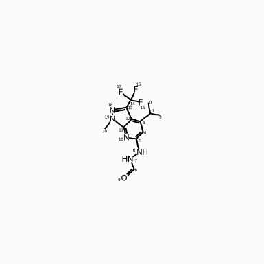 CC(C)c1cc(NNC=O)nc2c1c(C(F)(F)F)nn2C